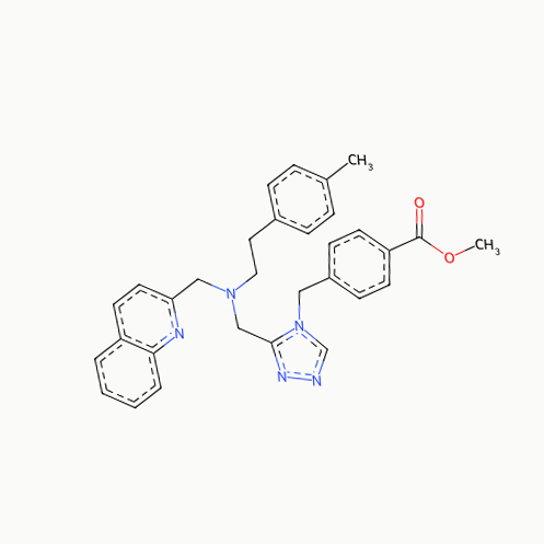 COC(=O)c1ccc(Cn2cnnc2CN(CCc2ccc(C)cc2)Cc2ccc3ccccc3n2)cc1